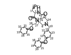 CC(C)CC1NC(=O)C2(CCN(Cc3ccc(Oc4ccccc4)cc3)CC2)N(CCOc2ccccc2)C1=O